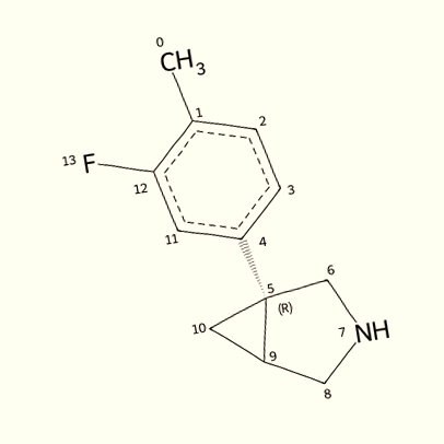 Cc1ccc([C@]23CNCC2C3)cc1F